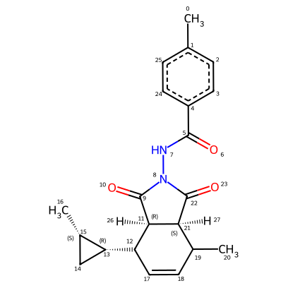 Cc1ccc(C(=O)NN2C(=O)[C@@H]3C([C@@H]4C[C@@H]4C)C=CC(C)[C@@H]3C2=O)cc1